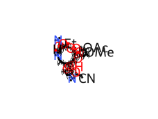 CC[C@H]1OC(=O)[C@H](C)[C@@H](O[C@H]2C[C@@](C)(OC)[C@@H](OC(C)=O)[C@H](C)O2)[C@H](C)[C@@H](O[C@@H]2O[C@H](C)C[C@H](N(C)C)[C@H]2OCCC#N)[C@](C)(O)C[C@@H](C)CN(C)[C@H](C)[C@H]2OC(N(C)C)O[C@@]21C